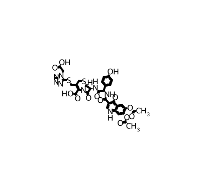 CC(=O)Oc1cc2[nH]cc(C(=O)NC(C(=O)N[C@@H]3C(=O)N4C(C(=O)O)=C(CSc5nnnn5CC(=O)O)CS[C@@H]34)c3ccc(O)cc3)c(=O)c2cc1OC(C)=O